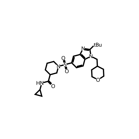 CC(C)(C)c1nc2cc(S(=O)(=O)N3CCCC(C(=O)NC4CC4)C3)ccc2n1CC1CCOCC1